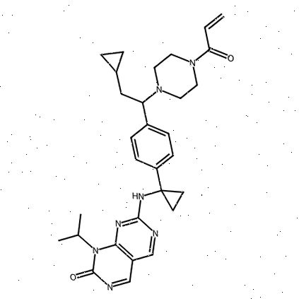 C=CC(=O)N1CCN(C(CC2CC2)c2ccc(C3(Nc4ncc5cnc(=O)n(C(C)C)c5n4)CC3)cc2)CC1